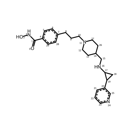 O=C(NO)c1ccc(CCCN2CCC(CNC3CC3c3cccnc3)CC2)cc1